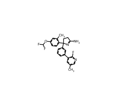 Cc1cnc(F)c(-c2cccc(C3(c4ccc(OC(F)F)cc4C)CCC(N)=N3)c2)c1